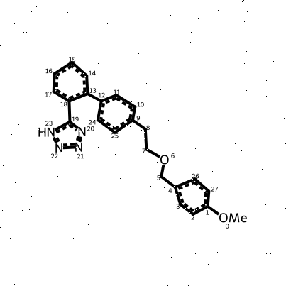 COc1ccc(COCCc2ccc(-c3ccccc3-c3nnn[nH]3)cc2)cc1